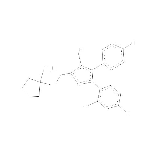 Cc1c(COC2(C(=O)O)CCCC2)nn(-c2ccc(Cl)cc2Cl)c1-c1ccc(Cl)cc1